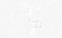 Cc1c(I)cnn1C[C@H]1COC(C)(C)O1